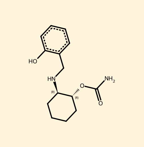 NC(=O)O[C@@H]1CCCC[C@H]1NCc1ccccc1O